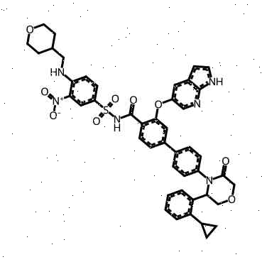 O=C(NS(=O)(=O)c1ccc(NCC2CCOCC2)c([N+](=O)[O-])c1)c1ccc(-c2ccc(N3C(=O)COCC3c3ccccc3C3CC3)cc2)cc1Oc1cnc2[nH]ccc2c1